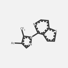 CC(=O)c1cnn(-c2nccc3sccc23)c1C(F)(F)F